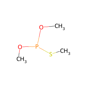 COP(OC)SC